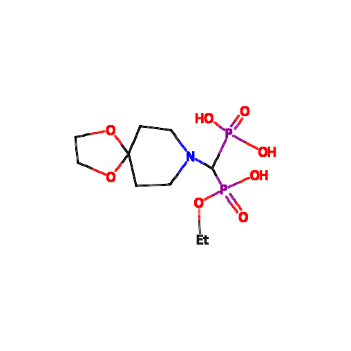 CCOP(=O)(O)C(N1CCC2(CC1)OCCO2)P(=O)(O)O